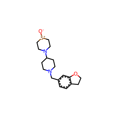 [O-][S+]1CCN(C2CCN(Cc3ccc4c(c3)OCC4)CC2)CC1